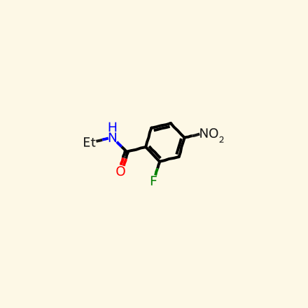 CCNC(=O)c1ccc([N+](=O)[O-])cc1F